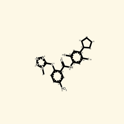 Cn1nnnc1Sc1ccc([N+](=O)[O-])cc1C(=O)Nc1cc(F)c(C2CCCC2)cc1F